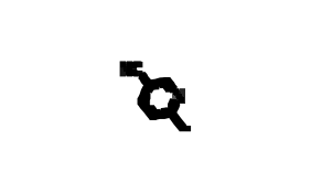 [CH2]c1ccc(C#N)cn1